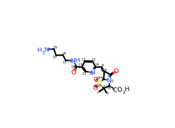 CC1(C)[C@H](C(=O)O)N2C(=O)/C(=C/c3ccc(C(=O)NCCCCN)cn3)C2S1(=O)=O